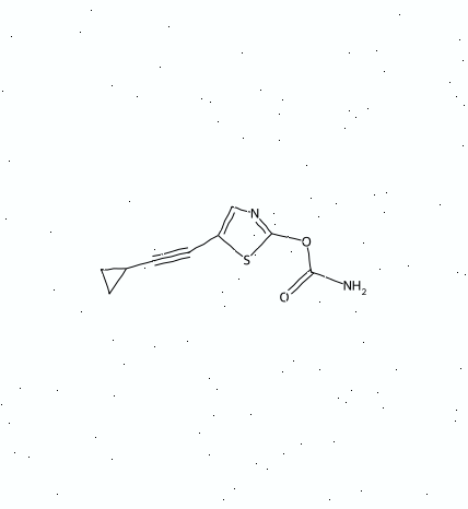 NC(=O)Oc1ncc(C#CC2CC2)s1